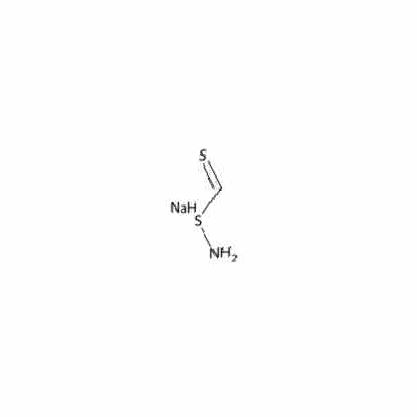 NSC=S.[NaH]